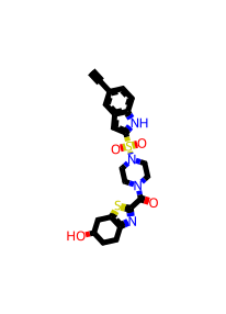 C#Cc1ccc2[nH]c(S(=O)(=O)N3CCN(C(=O)c4nc5c(s4)CC(O)CC5)CC3)cc2c1